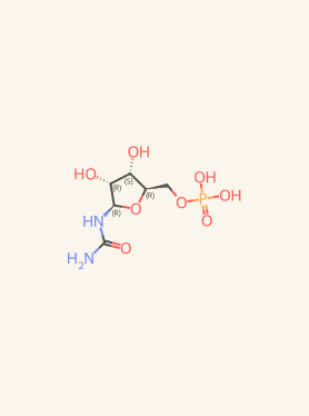 NC(=O)N[C@@H]1O[C@H](COP(=O)(O)O)[C@@H](O)[C@H]1O